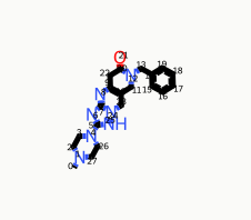 CN1CCN(C2=NC3=NC4=C(CN(Cc5ccccc5)C(=O)C4)CN3N2)CC1